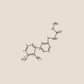 CC(C)(C)OC(=O)NCc1cccc(-c2cccc(N)c2N)c1